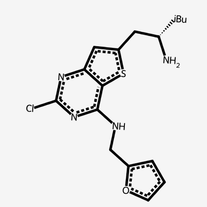 CCC(C)[C@H](N)Cc1cc2nc(Cl)nc(NCc3ccco3)c2s1